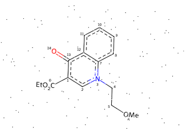 CCOC(=O)c1cn(CCOC)c2cc[c]cc2c1=O